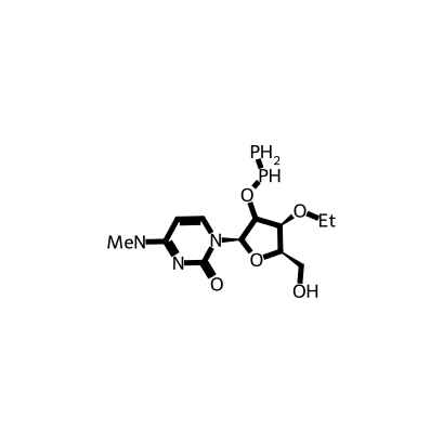 CCO[C@@H]1C(OPP)[C@H](n2ccc(NC)nc2=O)O[C@@H]1CO